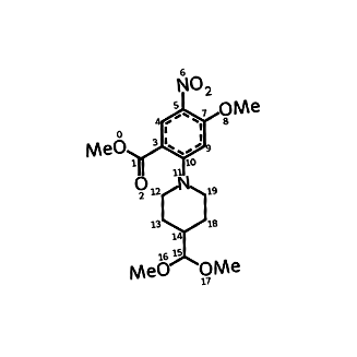 COC(=O)c1cc([N+](=O)[O-])c(OC)cc1N1CCC(C(OC)OC)CC1